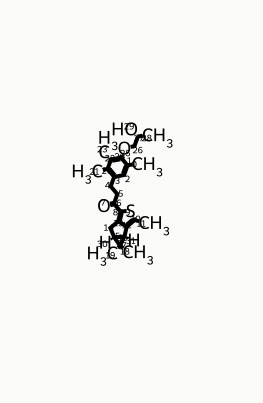 Cc1cc(CCC(=O)c2sc(C)c3c2C[C@@H]2[C@H]3C2(C)C)c(C)c(C)c1OCC(C)O